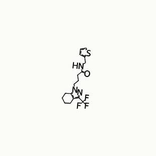 O=C(CCCn1nc(C(F)(F)F)c2c1CCCC2)NCc1cccs1